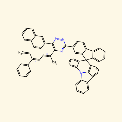 C=C/C(=C\C=C(/C)c1nc(-c2ccc3c(c2)C2(c4ccccc4-3)c3ccccc3-n3c4ccccc4c4cccc2c43)nnc1-c1ccc2ccccc2c1)c1ccccc1